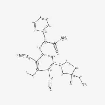 CCc1c(C#N)c(SC(C(N)=O)c2ccccc2)nc(N2CCC(F)(CN)C2)c1C#N